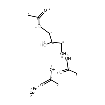 CC(=O)O.CC(=O)O.CC(=O)OCC(O)CO.[Cu].[Fe]